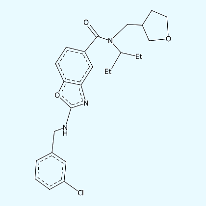 CCC(CC)N(CC1CCOC1)C(=O)c1ccc2oc(NCc3cccc(Cl)c3)nc2c1